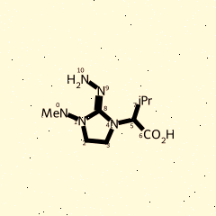 CNN1CCN(C(C(=O)O)C(C)C)/C1=N/N